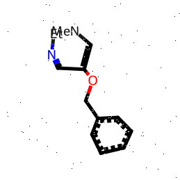 CC/N=C\C(=C/NC)OCc1ccccc1